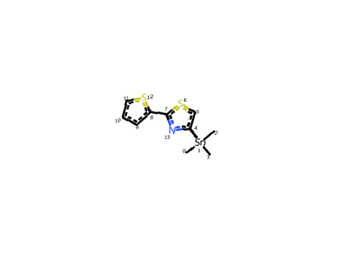 [CH3][Sn]([CH3])([CH3])[c]1csc(-c2cccs2)n1